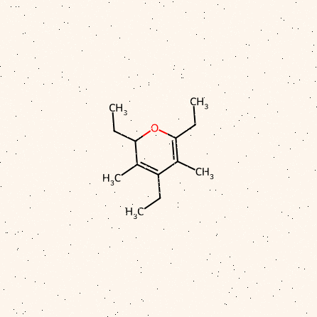 CCC1=C(C)C(CC)=C(C)C(CC)O1